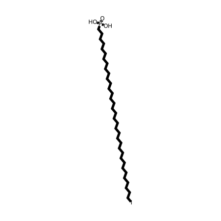 O=P(O)(O)CCCCCCCCCCCCCCCCCCCCCCCCCCCCCCCCCCCI